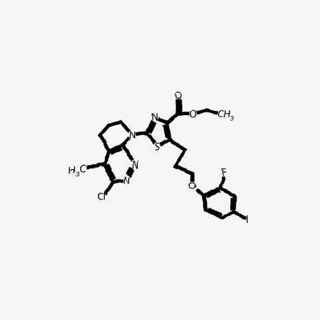 CCOC(=O)c1nc(N2CCCc3c2nnc(Cl)c3C)sc1CCCOc1ccc(I)cc1F